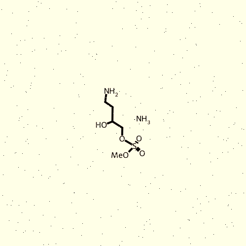 COS(=O)(=O)OCC(O)CCN.N